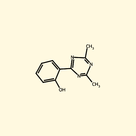 Cc1nc(C)nc(-c2ccccc2O)n1